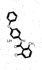 Cc1cccc(Cl)c1C(=O)Pc1ccc(Oc2ccccc2)cc1.[LiH]